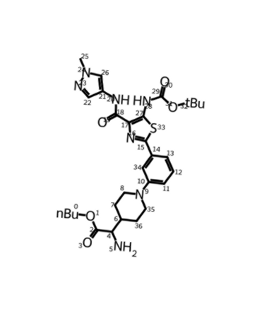 CCCCOC(=O)C(N)C1CCN(c2cccc(-c3nc(C(=O)Nc4cnn(C)c4)c(NC(=O)OC(C)(C)C)s3)c2)CC1